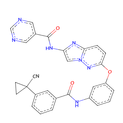 N#CC1(c2cccc(C(=O)Nc3cccc(Oc4ccc5nc(NC(=O)c6cncnc6)cn5n4)c3)c2)CC1